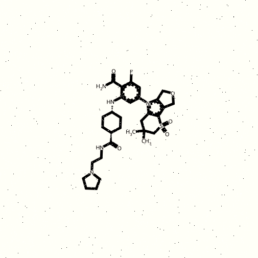 CC1(C)Cc2c(c3c(n2-c2cc(F)c(C(N)=O)c(N[C@H]4CC[C@H](C(=O)NCCN5CCCC5)CC4)c2)COC3)S(=O)(=O)C1